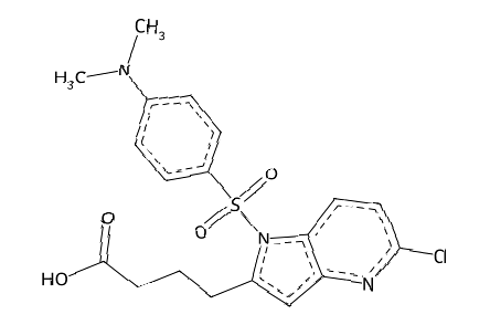 CN(C)c1ccc(S(=O)(=O)n2c(CCCC(=O)O)cc3nc(Cl)ccc32)cc1